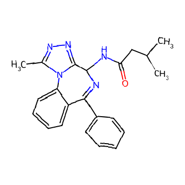 Cc1nnc2n1-c1ccccc1C(c1ccccc1)=NC2NC(=O)CC(C)C